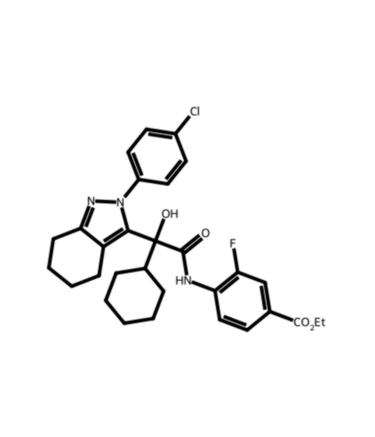 CCOC(=O)c1ccc(NC(=O)C(O)(c2c3c(nn2-c2ccc(Cl)cc2)CCCC3)C2CCCCC2)c(F)c1